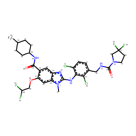 Cn1c(Nc2c(Cl)ccc(CNC(=O)N3CCC(F)(F)C3)c2Cl)nc2cc(C(=O)NC3CCC(C(F)(F)F)CC3)c(OCC(F)F)cc21